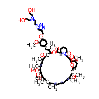 CO[C@H]1C[C@@H]2CC[C@@H](C)[C@@](O)(O2)C(=O)C(=O)N2CCCC[C@H]2C(=O)O[C@H]([C@H](C)C[C@@H]2CC[C@@H](OCc3cn(CCN(CCO)CCO)nn3)[C@H](OC)C2)CC(=O)[C@H](C)/C=C(\C)[C@@H](O)[C@@H](OC)C(=O)[C@H](C)C[C@H](C)/C=C/C=C/C=C/1C